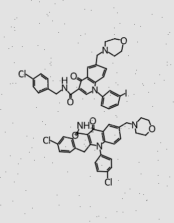 NC(=O)c1c(Cc2ccc(Cl)cc2)n(-c2ccc(Cl)cc2)c2ccc(CN3CCOCC3)cc2c1=O.O=C(NCc1ccc(Cl)cc1)c1cn(-c2cccc(I)c2)c2ccc(CN3CCOCC3)cc2c1=O